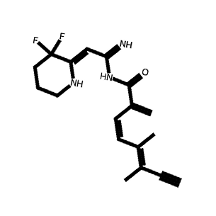 C#C/C(C)=C(C)/C=C\C(=C)C(=O)NC(=N)/C=C1\NCCCC1(F)F